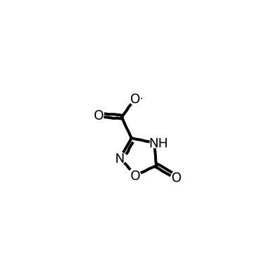 [O]C(=O)c1noc(=O)[nH]1